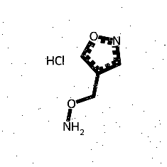 Cl.NOCc1cnoc1